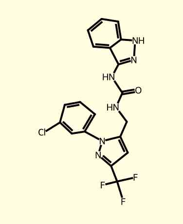 O=C(NCc1cc(C(F)(F)F)nn1-c1cccc(Cl)c1)Nc1n[nH]c2ccccc12